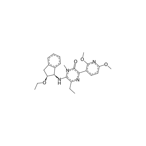 CCO[C@H]1Cc2ccccc2[C@H]1Nc1c(CC)nc(-c2ccc(OC)nc2OC)c(=O)n1C